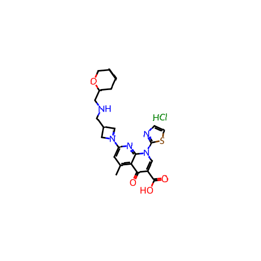 Cc1cc(N2CC(CNCC3CCCCO3)C2)nc2c1c(=O)c(C(=O)O)cn2-c1nccs1.Cl